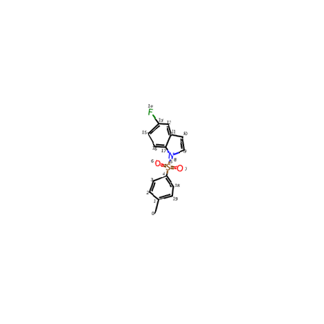 Cc1ccc(S(=O)(=O)n2[c]cc3cc(F)ccc32)cc1